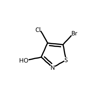 Oc1nsc(Br)c1Cl